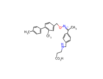 C/C(=N/OCc1ccc(-c2ccc(C)cc2)c(C(F)(F)F)c1)c1ccc(CNCCC(=O)O)cc1